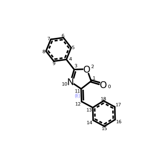 O=C1OC(c2ccccc2)=N/C1=C/c1ccccc1